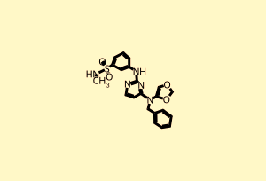 CNS(=O)(=O)c1cccc(Nc2nccc(N(Cc3ccccc3)C3=COCO3)n2)c1